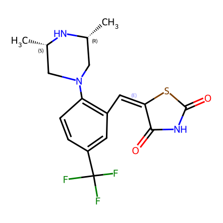 C[C@@H]1CN(c2ccc(C(F)(F)F)cc2/C=C2/SC(=O)NC2=O)C[C@H](C)N1